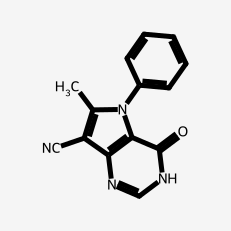 Cc1c(C#N)c2nc[nH]c(=O)c2n1-c1ccccc1